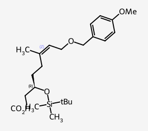 COc1ccc(COC/C=C(/C)CC[C@H](CC(=O)O)O[Si](C)(C)C(C)(C)C)cc1